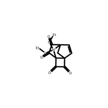 CCO[N+]1(OCC)C23C=CC4(C2)C(=O)C(=O)C41C(=O)C3=O